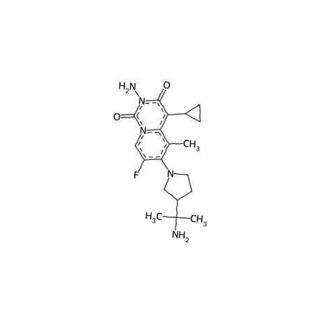 Cc1c(N2CCC(C(C)(C)N)C2)c(F)cn2c(=O)n(N)c(=O)c(C3CC3)c12